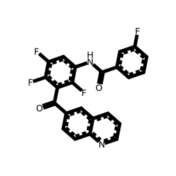 O=C(Nc1cc(F)c(F)c(C(=O)c2ccc3ncccc3c2)c1F)c1cccc(F)c1